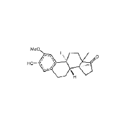 COc1cc2c(cc1O)CC[C@@H]1[C@@H]2CCC2(C)C(=O)CC[C@@]12C